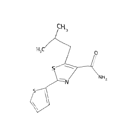 CC(C)Cc1sc(-c2cccs2)nc1C(N)=O